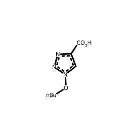 CCCCOn1cc(C(=O)O)nn1